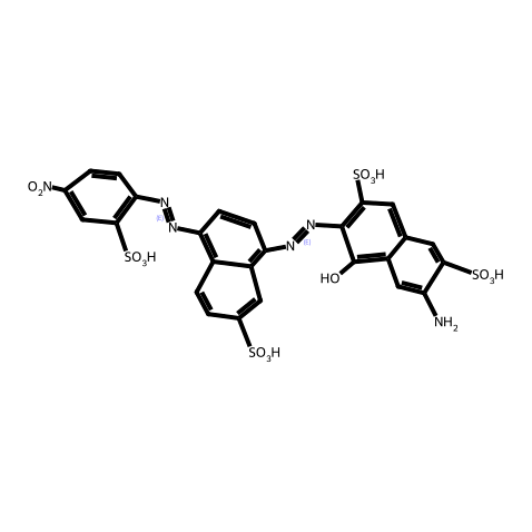 Nc1cc2c(O)c(/N=N/c3ccc(/N=N/c4ccc([N+](=O)[O-])cc4S(=O)(=O)O)c4ccc(S(=O)(=O)O)cc34)c(S(=O)(=O)O)cc2cc1S(=O)(=O)O